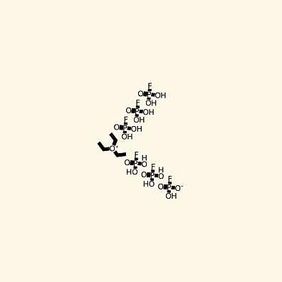 CC[O+](CC)CC.O=P(O)(O)F.O=P(O)(O)F.O=P(O)(O)F.O=P(O)(O)F.O=P(O)(O)F.O=P([O-])(O)F